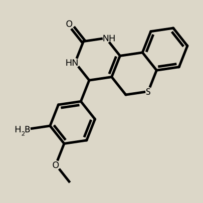 Bc1cc(C2NC(=O)NC3=C2CSc2ccccc23)ccc1OC